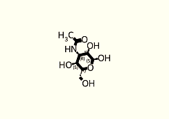 CC(=O)N[C@H]1[C@@H](O)[C@@H](O)O[C@H](CO)[C@H]1O